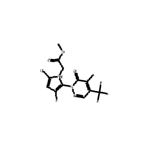 COC(=O)C[SH]1C(Cl)=CC(F)=C1n1ncc(C(F)(F)F)c(C)c1=O